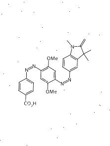 C=C1N(C)c2ccc(/N=N\c3cc(OC)c(/N=N\c4ccc(C(=O)O)cc4)cc3OC)cc2C1(C)C